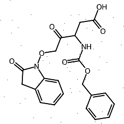 O=C(O)CC(NC(=O)OCc1ccccc1)C(=O)CON1C(=O)Cc2ccccc21